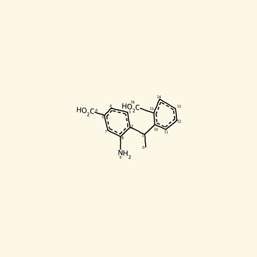 CC(c1ccc(C(=O)O)cc1N)c1ccccc1C(=O)O